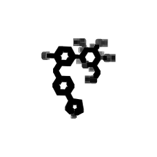 OC[C@H]1O[C@@H](c2ccc(Cl)c(Cc3ccc(-c4ccsc4)cc3)c2)[C@H](O)[C@@H](O)[C@@H]1O